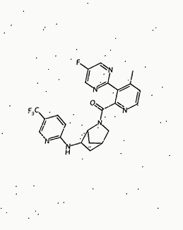 Cc1ccnc(C(=O)N2CC3CC(Nc4ccc(C(F)(F)F)cn4)C2C3)c1-c1ncc(F)cn1